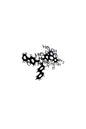 Bc1c(O)c(O)c2c3c1OO/C(=C\O)C3=c1/c(=C(\C)O)oc3c(O)c(C4N=C(c5ccc6c(c5)oc5ccccc56)N=C(c5ccc(-c6ccccc6)cc5)N4)c(O)c(c13)B2